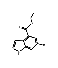 CCOC(=O)c1cc(Br)cc2[nH]ncc12